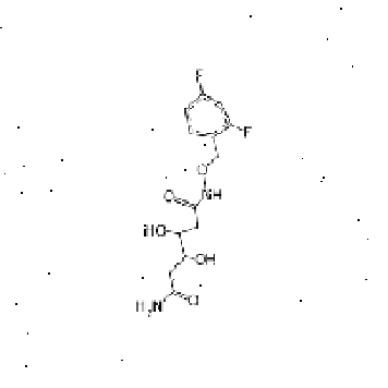 NC(=O)CC(O)C(O)CC(=O)NOCc1ccc(F)cc1F